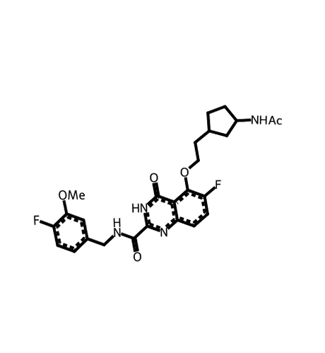 COc1cc(CNC(=O)c2nc3ccc(F)c(OCCC4CCC(NC(C)=O)C4)c3c(=O)[nH]2)ccc1F